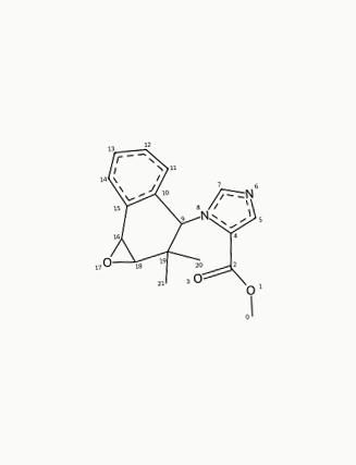 COC(=O)c1cncn1C1c2ccccc2C2OC2C1(C)C